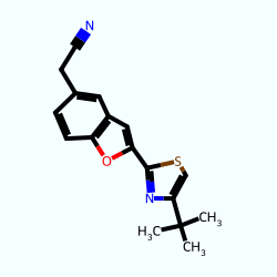 CC(C)(C)c1csc(-c2cc3cc(CC#N)ccc3o2)n1